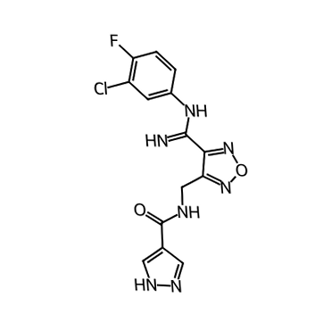 N=C(Nc1ccc(F)c(Cl)c1)c1nonc1CNC(=O)c1cn[nH]c1